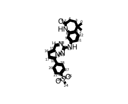 CC1(C)CCC(=O)Nc2cc(Nc3ncc4ccc(-c5ccc(S(C)(=O)=O)cc5)n4n3)ccc21